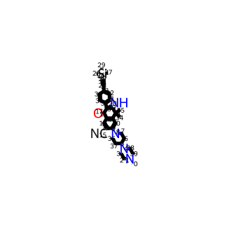 CN1CCN(C2CCN(c3cc4c(cc3C#N)C(=O)c3c([nH]c5cc(C#C[Si](C)(C)C)ccc35)C4(C)C)CC2)CC1